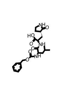 CC(C)CC(NC(=O)OCc1ccccc1)C(=O)NC(C[C@@H]1CCNC1=O)C(=O)O